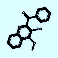 COc1c(O)c(C(=O)c2ccccc2)nc2ccccc12